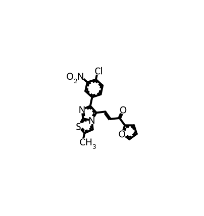 Cc1cn2c(C=CC(=O)c3ccco3)c(-c3ccc(Cl)c([N+](=O)[O-])c3)nc2s1